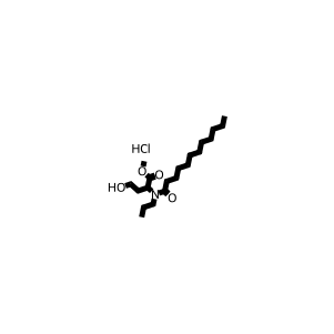 CCCCCCCCCCCC(=O)N(CCC)C(CCO)C(=O)OC.Cl